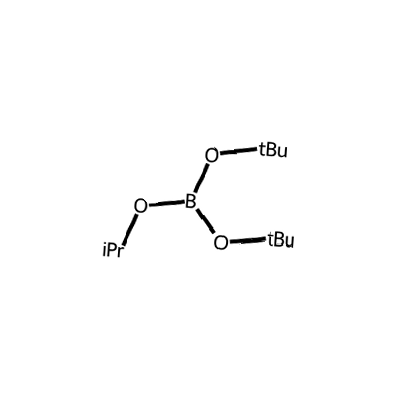 CC(C)OB(OC(C)(C)C)OC(C)(C)C